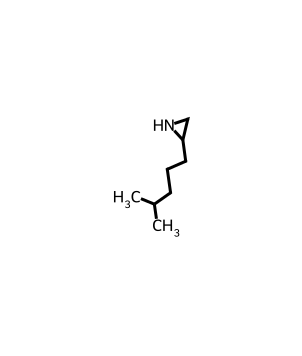 CC(C)CCCC1CN1